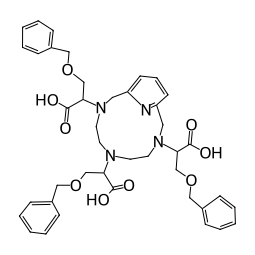 O=C(O)C(COCc1ccccc1)N1CCN(C(COCc2ccccc2)C(=O)O)Cc2cccc(n2)CN(C(COCc2ccccc2)C(=O)O)CC1